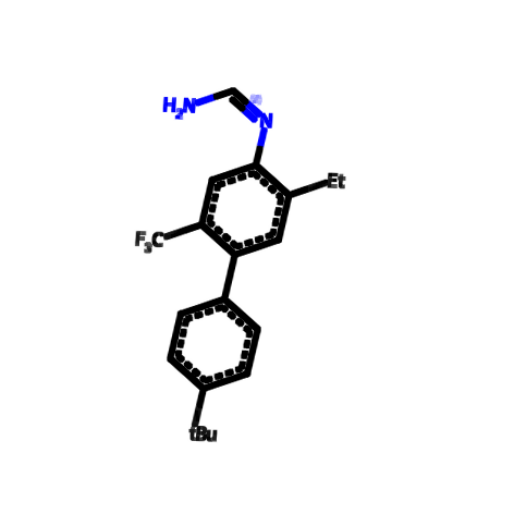 CCc1cc(-c2ccc(C(C)(C)C)cc2)c(C(F)(F)F)cc1/N=C\N